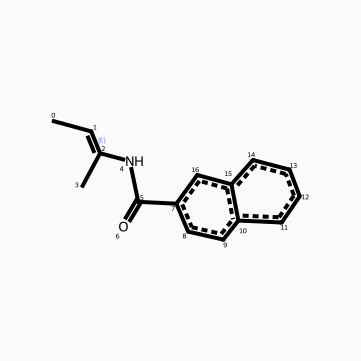 C/C=C(\C)NC(=O)c1ccc2ccccc2c1